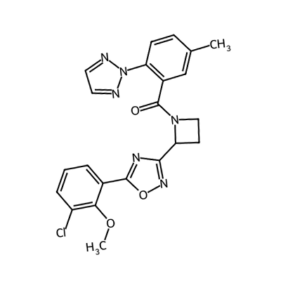 COc1c(Cl)cccc1-c1nc(C2CCN2C(=O)c2cc(C)ccc2-n2nccn2)no1